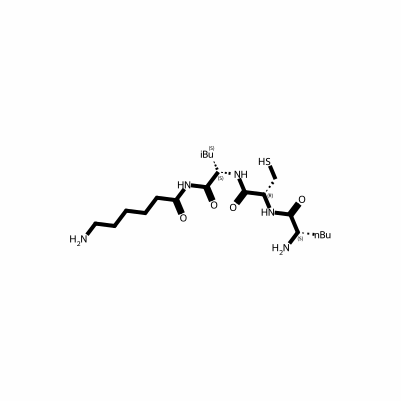 CCCC[C@H](N)C(=O)N[C@@H](CS)C(=O)N[C@H](C(=O)NC(=O)CCCCCN)[C@@H](C)CC